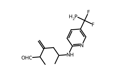 C=C(CC(C)Nc1ccc(C(F)(F)P)cn1)C(C)C=O